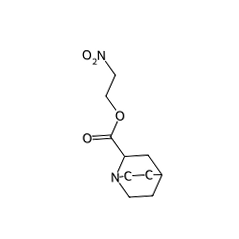 O=C(OCC[N+](=O)[O-])C1CC2CCN1CC2